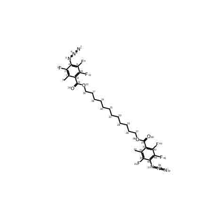 Cc1c(F)c(N=[N+]=[N-])c(F)c(F)c1C(=O)OCCCCCCCCCCCCOC(=O)c1c(C)c(F)c(N=[N+]=[N-])c(F)c1F